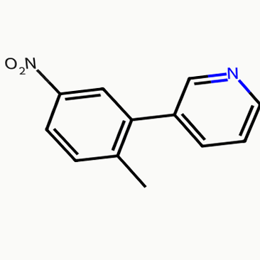 Cc1ccc([N+](=O)[O-])cc1-c1cccnc1